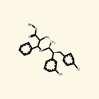 C[C@H](NC(c1ccccc1)C(N)C(=O)OC(C)(C)C)[C@@H](Cc1ccc(Cl)cc1)c1cccc(C#N)c1